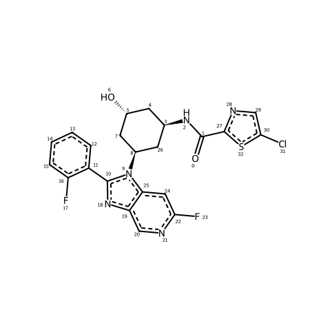 O=C(N[C@@H]1C[C@@H](O)C[C@H](n2c(-c3ccccc3F)nc3cnc(F)cc32)C1)c1ncc(Cl)s1